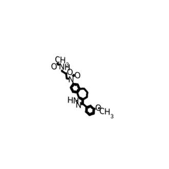 COc1cccc(-c2n[nH]c3c2CCCc2cc(N4CC(CNC(C)=O)OC4=O)ccc2-3)c1